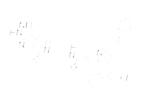 CCOc1ccccc1-c1ccc(CSc2ccccc2)nc1/C=C/C(=O)NCCCNC(=O)c1ccc(NN)nc1